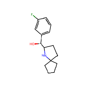 O[C@@H](c1cccc(F)c1)C1CCC2(CCCC2)N1